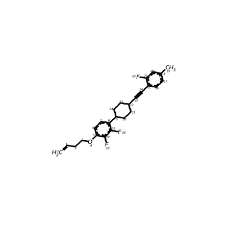 C=CCCOc1ccc(C2CCC(C#Cc3ccc(C)cc3F)CC2)c(F)c1F